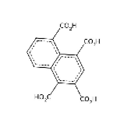 O=C(O)c1cc(C(=O)O)c2c(C(=O)O)cccc2c1C(=O)O